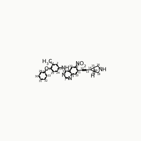 Cc1cc(Nc2ncnc3cc(C#CC4C5CNC[C@@H]45)c([N+](=O)[O-])cc23)ccc1Oc1ccccc1